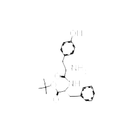 CC(C)(C)OC(=O)[C@H](Cc1ccccc1)NC(=O)[C@@H](N)Cc1ccc(O)cc1